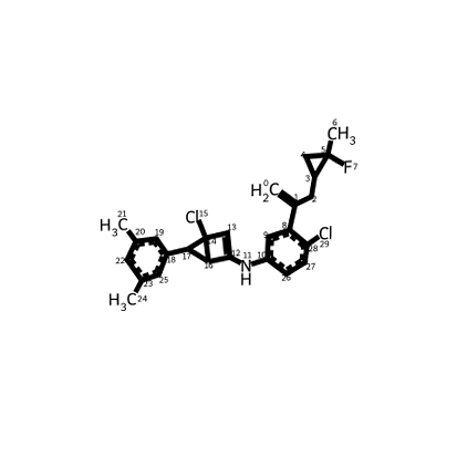 C=C(CC1CC1(C)F)c1cc(NC2=CC3(Cl)C2C3c2cc(C)cc(C)c2)ccc1Cl